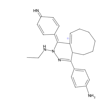 CCNN1N=C(c2ccc(N)cc2)C2CCCCC/C=C\2C1=C1C=CC(=N)C=C1